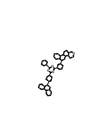 c1ccc(-c2nc(-c3ccc(-c4cc5ccccc5c5ccccc45)cc3)nc(-c3cccc(-c4cc5c6ccncc6ccc5c5ccccc45)c3)n2)cc1